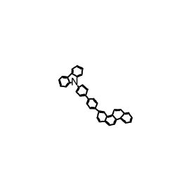 c1ccc2c(c1)ccc1c3cc(-c4ccc(-c5ccc(-n6c7ccccc7c7ccccc76)cc5)cc4)ccc3ccc21